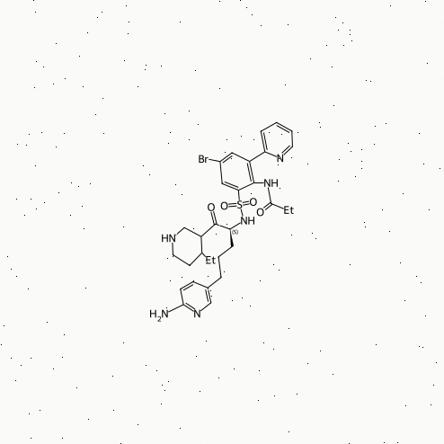 CCC(=O)Nc1c(-c2ccccn2)cc(Br)cc1S(=O)(=O)N[C@@H](CCCc1ccc(N)nc1)C(=O)C1CNCCC1CC